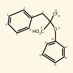 O=C(O)C(Cc1ccccc1)(Oc1ccccc1)C(F)(F)F